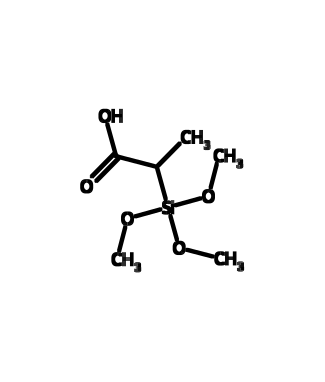 CO[Si](OC)(OC)C(C)C(=O)O